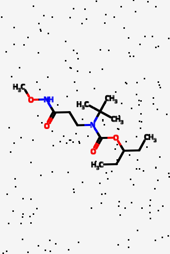 CCC(CC)OC(=O)N(CCC(=O)NOC)C(C)(C)C